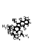 CC(=O)O[C@@H]1c2c(c3c(=O)c4cccc(O)c4c(=O)c=3c2=[N+]=[N-])[C@H](OC(C)=O)[C@@H](OC(C)=O)[C@]1(C)O